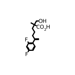 C=C(CCCC(C)(CO)C(=O)O)c1ccc(F)cc1F